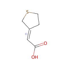 O=C(O)/C=C1\CCSC1